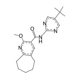 COc1nc2c(cc1C(=O)Nc1ncc(C(C)(C)C)cn1)CCCCC2